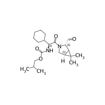 CC(C)COC(=O)N[C@H](C(=O)N1C[C@H]2C([C@H]1C=O)C2(C)C)C1CCCCC1